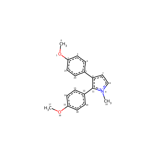 COc1ccc(-c2ccn(C)c2-c2ccc(OC)cc2)cc1